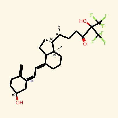 C=C1CC[C@H](O)C/C1=C/C=C1CCC[C@@]2(C)C1CC[C@@H]2[C@H](C)CCC(=O)C(O)(C(F)(F)F)C(F)(F)F